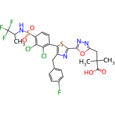 CC(NS(=O)(=O)c1ccc(-c2sc(-c3nnc(CC(C)(C)C(=O)O)o3)nc2Cc2ccc(F)cc2)c(Cl)c1Cl)C(F)(F)F